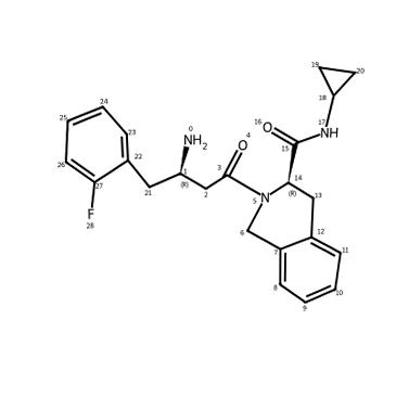 N[C@@H](CC(=O)N1Cc2ccccc2C[C@@H]1C(=O)NC1CC1)Cc1ccccc1F